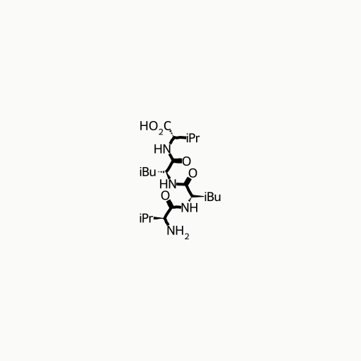 CC[C@H](C)[C@H](NC(=O)[C@@H](N)C(C)C)C(=O)N[C@H](C(=O)N[C@H](C(=O)O)C(C)C)[C@@H](C)CC